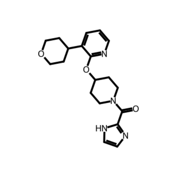 O=C(c1ncc[nH]1)N1CCC(Oc2ncccc2C2CCOCC2)CC1